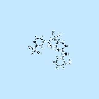 CS(=O)(=O)c1cccc(CNc2nc(Nc3ccccc3Cl)ncc2C(F)(F)F)c1